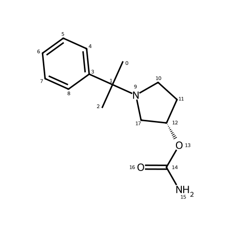 CC(C)(c1ccccc1)N1CC[C@H](OC(N)=O)C1